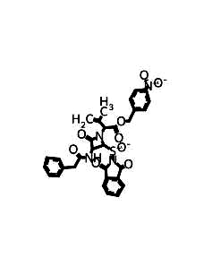 C=C(C)C(C(=O)OCc1ccc([N+](=O)[O-])cc1)N1C(=O)C(NC(=O)Cc2ccccc2)C1[S+]([O-])N1C(=O)c2ccccc2C1=O